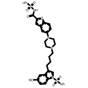 CCCS(=O)(=O)NC(=O)c1cc2cc(N3CCN(CCCCc4cn(S(=O)(=O)CCC)c5ccc(C#N)cc45)CC3)ccc2o1